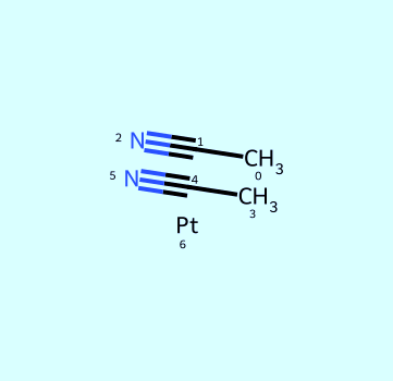 CC#N.CC#N.[Pt]